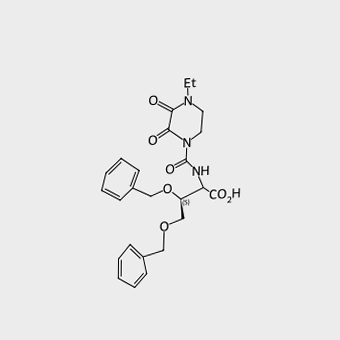 CCN1CCN(C(=O)NC(C(=O)O)[C@@H](COCc2ccccc2)OCc2ccccc2)C(=O)C1=O